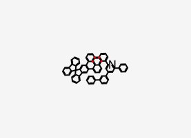 c1ccc(-c2cccc(-c3cc(-c4ccccc4)nc(-c4cccc(-c5cccc(-c6cc7c(cc6-c6cccc8ccccc68)-c6ccccc6C76c7ccccc7-c7ccccc76)c5)c4)c3)c2)cc1